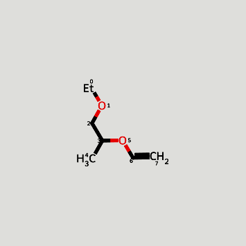 [CH2]COCC(C)OC=C